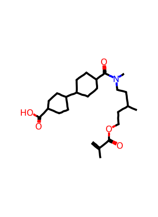 C=C(C)C(=O)OCCC(C)CCN(C)C(=O)C1CCC(C2CCC(C(=O)O)CC2)CC1